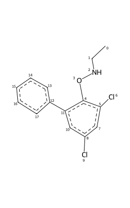 CCNOc1c(Cl)cc(Cl)cc1-c1ccccc1